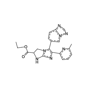 CCOC(=O)C1Cn2c(nc(-c3cccc(C)n3)c2-c2ccc3ncnn3c2)N1